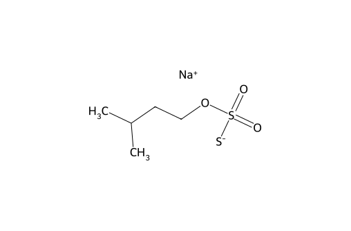 CC(C)CCOS(=O)(=O)[S-].[Na+]